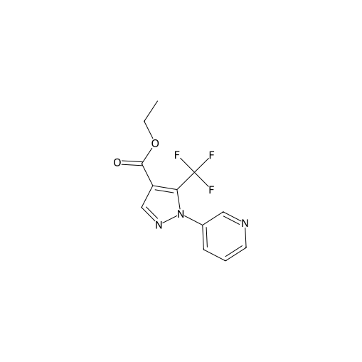 CCOC(=O)c1cnn(-c2cccnc2)c1C(F)(F)F